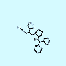 C#CCC(Cc1ccccc1NC(c1ccccc1)c1ccccc1)C(=O)OC